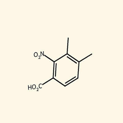 Cc1ccc(C(=O)O)c([N+](=O)[O-])c1C